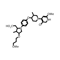 COCCCOC1CN(c2ccc(OC3CCN(C4=C(Cl)CNC(OC)=C4)CC3C)cc2)C(CC(=O)O)C1C